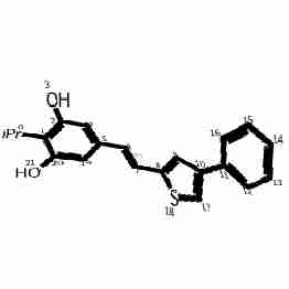 CC(C)c1c(O)cc(/C=C/c2cc(-c3ccccc3)cs2)cc1O